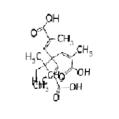 CCC(C)(C)C(C=C(C)C(=O)O)(C=C(C)C(=O)O)C=C(C)C(=O)O